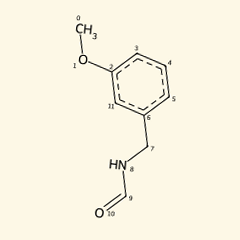 COc1cccc(CNC=O)c1